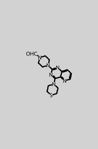 O=CN1CCN(c2nc(N3CCSCC3)c3ncccc3n2)CC1